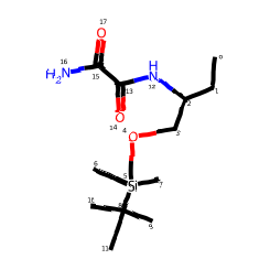 CCC(CO[Si](C)(C)C(C)(C)C)NC(=O)C(N)=O